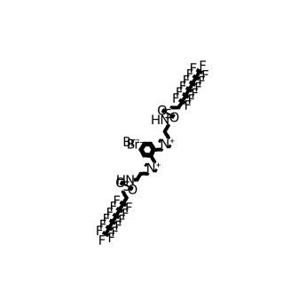 C[N+](C)(CCCNS(=O)(=O)CCC(F)(F)C(F)(F)C(F)(F)C(F)(F)C(F)(F)C(F)(F)F)Cc1ccccc1C[N+](C)(C)CCCNS(=O)(=O)CCC(F)(F)C(F)(F)C(F)(F)C(F)(F)C(F)(F)C(F)(F)F.[Br-].[Br-]